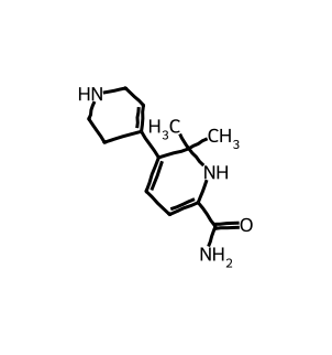 CC1(C)NC(C(N)=O)=CC=C1C1=CCNCC1